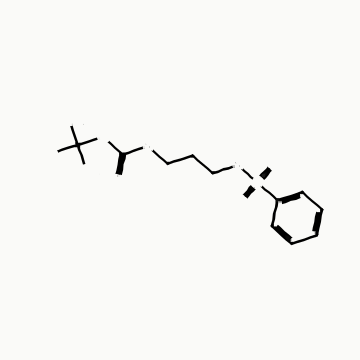 CC(C)(C)OC(=O)NCCCNS(=O)(=O)c1cc[c]cc1